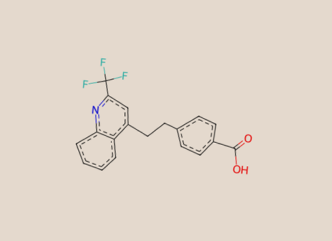 O=C(O)c1ccc(CCc2cc(C(F)(F)F)nc3ccccc23)cc1